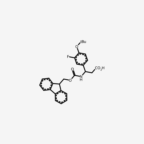 CC(C)(C)Oc1ccc(C(CC(=O)O)NC(=O)OCC2c3ccccc3-c3ccccc32)cc1F